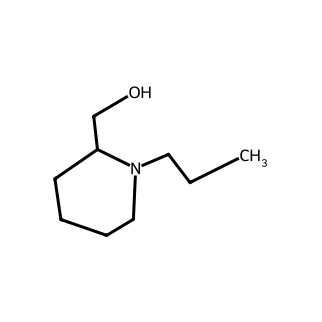 CCCN1CCCCC1CO